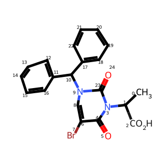 CC(C(=O)O)n1c(=O)c(Br)cn(C(c2ccccc2)c2ccccc2)c1=O